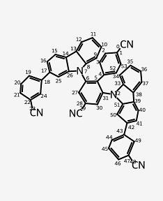 N#Cc1ccc(-c2c(-n3c4ccccc4c4ccc(-c5cccc(C#N)c5)cc43)cc(C#N)cc2-n2c3ccccc3c3ccc(-c4cccc(C#N)c4)cc32)cc1